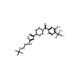 CC(C)(C)OCCNc1cc(C2CCN(C(=O)c3ccc(C(F)(F)F)c(F)c3)CC2)no1